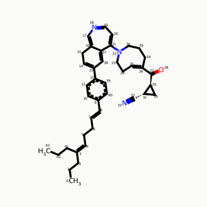 CCCC(=CCC/C=C/c1ccc(C2=CCC3=CN=CC=C(N4CC/C=C(\C(=O)[C@H]5C[C@@H]5C#N)CCC4)C3=C2)cc1)CCC